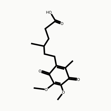 COC1=C(OC)C(=O)C(CCC(C)CCC(=O)O)=C(C)C1=O